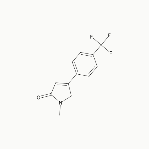 CN1CC(c2ccc(C(F)(F)F)cc2)=CC1=O